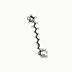 CC(C)(C)O[SiH2]CCCCCCCCCCN1C=COC1